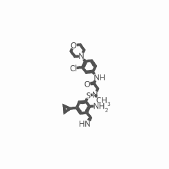 CN(CC(=O)Nc1ccc(N2CCOCC2)c(Cl)c1)Sc1cc(C2CC2)cc(C=N)c1N